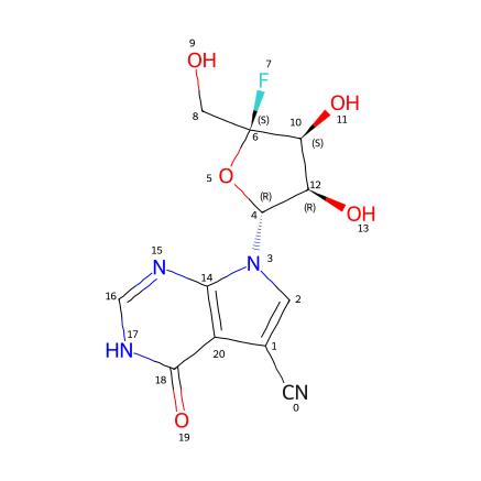 N#Cc1cn([C@@H]2O[C@](F)(CO)[C@@H](O)[C@H]2O)c2nc[nH]c(=O)c12